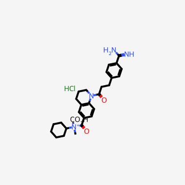 C[N+](C(=O)O)(C(=O)c1ccc2c(c1)CCCN2C(=O)CCc1ccc(C(=N)N)cc1)C1CCCCC1.Cl